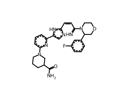 N=C(/C=C\c1ncc(-c2cccc(N3CCCC(C(N)=O)C3)n2)[nH]1)N1CCOCC1c1cccc(F)c1